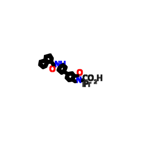 CC(C)C(C(=O)O)N1Cc2ccc(-c3ccc(NC(=O)c4cccc5ccccc45)cc3)cc2C1=O